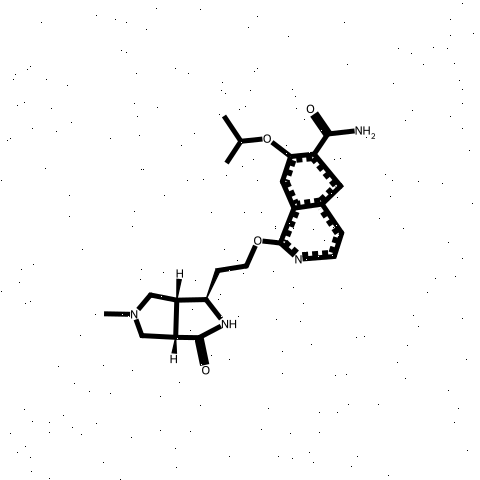 CC(C)Oc1cc2c(OCC[C@H]3NC(=O)[C@@H]4CN(C)C[C@H]34)nccc2cc1C(N)=O